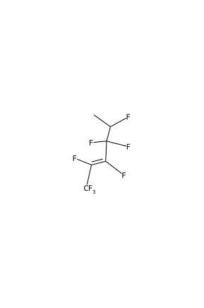 CC(F)C(F)(F)C(F)=C(F)C(F)(F)F